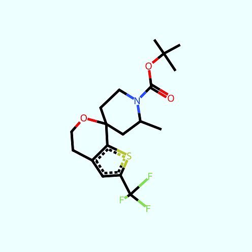 CC1CC2(CCN1C(=O)OC(C)(C)C)OCCc1cc(C(F)(F)F)sc12